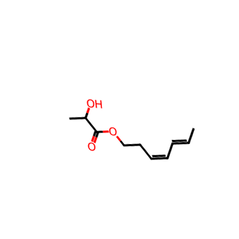 C/C=C/C=C\CCOC(=O)C(C)O